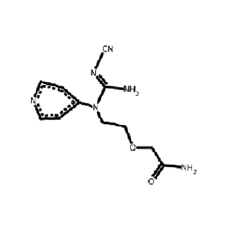 N#CN=C(N)N(CCOCC(N)=O)c1ccncc1